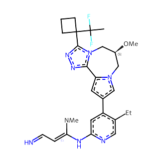 CCc1cnc(N/C(=C/C=N)NC)cc1-c1cc2n(c1)C[C@H](OC)Cn1c-2nnc1C1(C(C)(F)F)CCC1